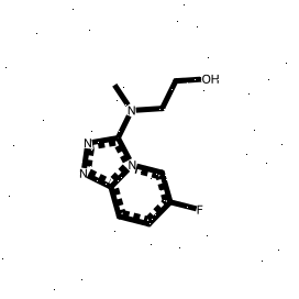 CN(CCO)c1nnc2ccc(F)cn12